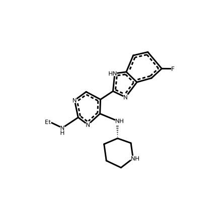 CCNc1ncc(-c2nc3cc(F)ccc3[nH]2)c(N[C@H]2CCCNC2)n1